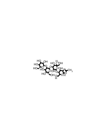 CC1=NC2[C@@H](O1)OC(CO)[C@@H](O[C@@H]1OC(C)(CO)[C@@H](O)[C@H](O[C@H]3O[C@@H](CO)[C@@H](O)C(O)C3O[C@H]3O[C@@H](CO)[C@@H](O)C(O)C3O)C1O)[C@@H]2O